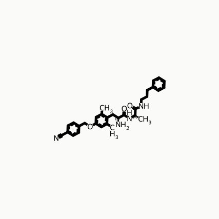 Cc1cc(OCc2ccc(C#N)cc2)cc(C)c1C[C@H](N)C(=O)N[C@H](C)C(=O)NCCCc1ccccc1